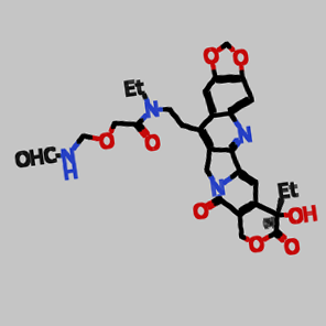 CCN(CCc1c2c(nc3cc4c(cc13)OCO4)-c1cc3c(c(=O)n1C2)COC(=O)[C@]3(O)CC)C(=O)COCNC=O